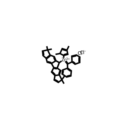 CC1=CC(C)[C]([Zr+2](=[C](c2ccccc2)c2ccccc2)[CH]2c3cc4c(cc3-c3cc5c(cc32)C(C)(C)C=C5)C=CC4(C)C)=C1.[Cl-].[Cl-]